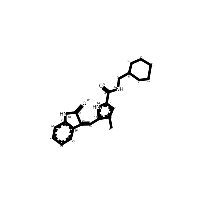 Cc1cc(C(=O)NCC2CCCCC2)[nH]c1C=C1C(=O)Nc2ccccc21